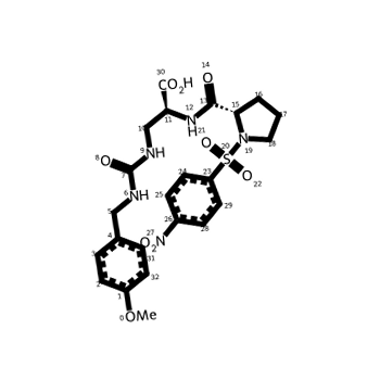 COc1ccc(CNC(=O)NC[C@H](NC(=O)[C@@H]2CCCN2S(=O)(=O)c2ccc([N+](=O)[O-])cc2)C(=O)O)cc1